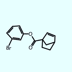 O=C(Oc1cccc(Br)c1)C12C=CC(CC1)C2